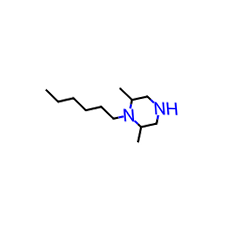 CCCCCCN1C(C)CNCC1C